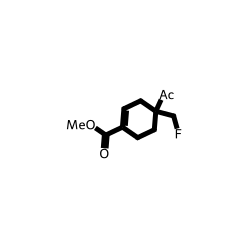 COC(=O)C1=CCC(CF)(C(C)=O)CC1